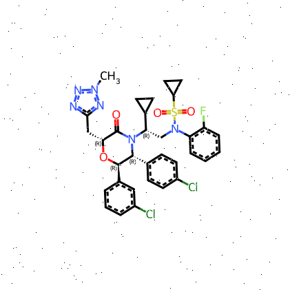 Cn1nnc(C[C@H]2O[C@H](c3cccc(Cl)c3)[C@@H](c3ccc(Cl)cc3)N([C@@H](CN(c3ccccc3F)S(=O)(=O)C3CC3)C3CC3)C2=O)n1